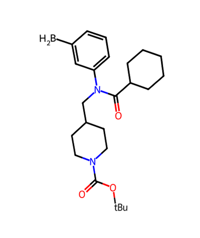 Bc1cccc(N(CC2CCN(C(=O)OC(C)(C)C)CC2)C(=O)C2CCCCC2)c1